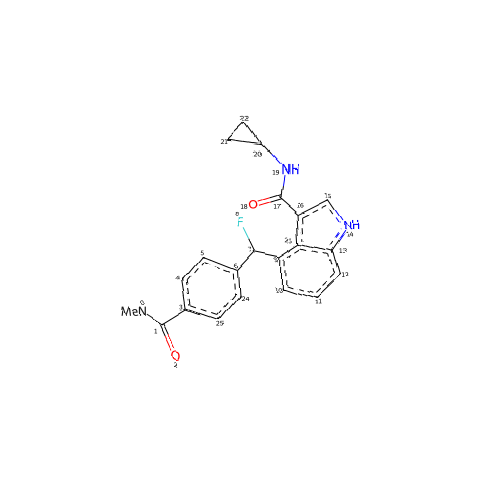 CNC(=O)c1ccc(C(F)c2cccc3[nH]cc(C(=O)NC4CC4)c23)cc1